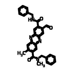 Cc1cc2nc3cc(C(=O)NCc4ccccc4)c(C=O)cc3nc2cc1C(=O)N(C)Cc1ccccc1